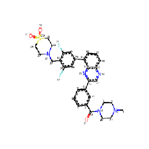 CN1CCN(C(=O)c2cccc(-c3cnc4cccc(-c5cc(F)c(CN6CCS(=O)(=O)CC6)c(F)c5)c4n3)c2)CC1